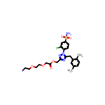 Cc1ccc(C)c(Cc2nc(COC(=O)COCCOCCI)nn2-c2ccc(S(N)(=O)=O)cc2F)c1